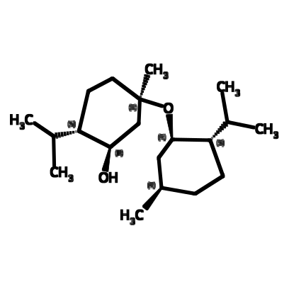 CC(C)[C@@H]1CC[C@@](C)(O[C@@H]2C[C@H](C)CC[C@H]2C(C)C)C[C@H]1O